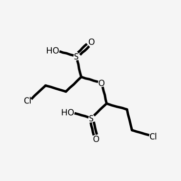 O=S(O)C(CCCl)OC(CCCl)S(=O)O